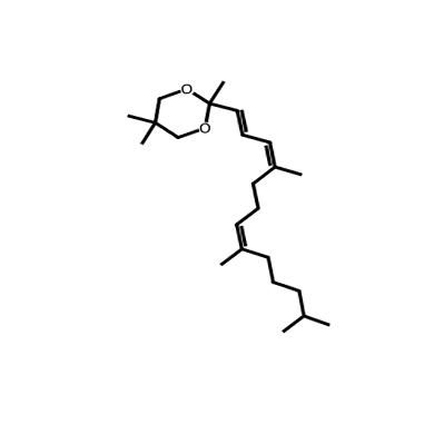 CC(=CC=CC1(C)OCC(C)(C)CO1)CCC=C(C)CCCC(C)C